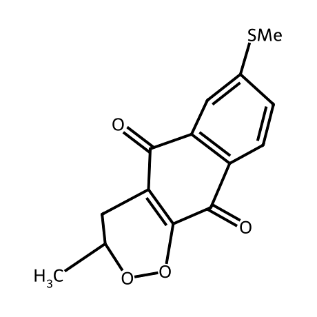 CSc1ccc2c(c1)C(=O)C1=C(OOC(C)C1)C2=O